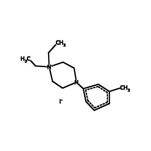 CC[N+]1(CC)CCN(c2cccc(C)c2)CC1.[I-]